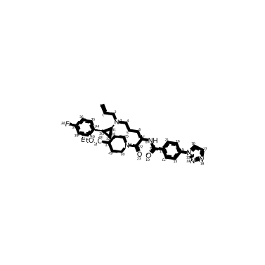 C=CCN(CCCC(NC(=O)c1ccc(-n2ccnn2)cc1)C(=O)N1CCC(C(=O)OCC)CC1)[C@@H]1C[C@H]1c1ccc(F)cc1